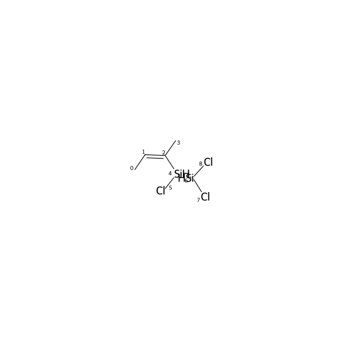 CC=C(C)[SiH](Cl)[SiH](Cl)Cl